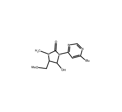 COCC1C(O)N(c2cc(C(C)(C)C)ncn2)C(=O)N1C